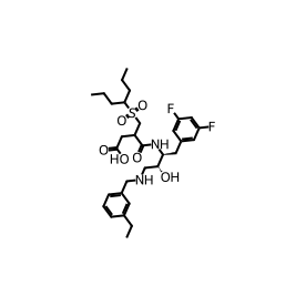 CCCC(CCC)S(=O)(=O)CC(CC(=O)O)C(=O)N[C@@H](Cc1cc(F)cc(F)c1)[C@H](O)CNCc1cccc(CC)c1